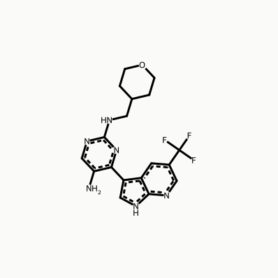 Nc1cnc(NCC2CCOCC2)nc1-c1c[nH]c2ncc(C(F)(F)F)cc12